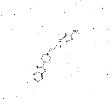 CC1(CCCN2CCN(c3nc4ccccc4o3)CC2)Cn2cc([N+](=O)[O-])nc2O1